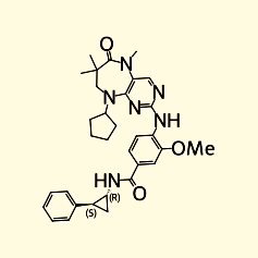 COc1cc(C(=O)N[C@@H]2C[C@H]2c2ccccc2)ccc1Nc1ncc2c(n1)N(C1CCCC1)CC(C)(C)C(=O)N2C